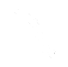 CN(c1ncc(-c2ccc(-c3ccc4c(c3)ncn4C)cc2O)nn1)C1CC(C)(C)NC(C)(C)C1